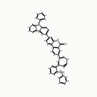 O=c1oc2cc(-c3ccc4c(c3)c3ccccc3n4-c3ccccc3)ccc2c2ccc(C3=CCC#CC(c4ccccc4Nc4ccccc4)=C3)cc12